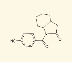 N#Cc1ccc(C(=O)N2C(=O)CC3CCCCC32)cc1